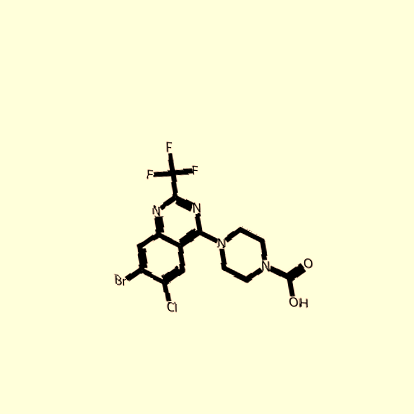 O=C(O)N1CCN(c2nc(C(F)(F)F)nc3cc(Br)c(Cl)cc23)CC1